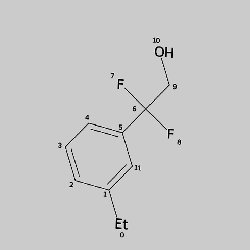 CCc1cccc(C(F)(F)CO)c1